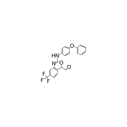 O=CC1OC(Nc2ccc(Oc3ccccc3)cc2)=Nc2cc(C(F)(F)F)ccc21